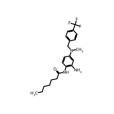 CCCCCCC(=O)Nc1ccc(N(C)Cc2ccc(C(F)(F)F)cc2)cc1N